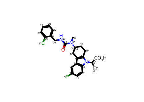 CCC(C(=O)O)n1c2c(c3cc(F)ccc31)C[C@@H](N(C)C(=O)NCc1ccccc1Cl)CC2